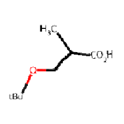 CC(COC(C)(C)C)C(=O)O